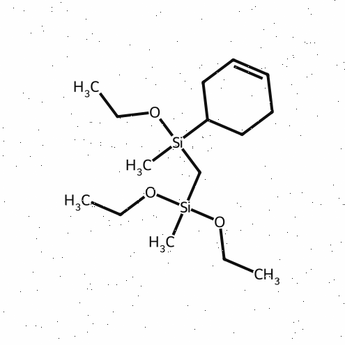 CCO[Si](C)(C[Si](C)(OCC)C1CC=CCC1)OCC